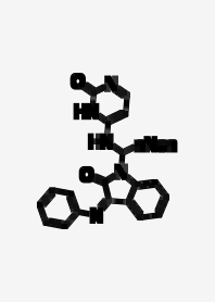 CCCCCCCCCC(Nc1ccnc(=O)[nH]1)N1C(=O)/C(=N\c2ccccc2)c2ccccc21